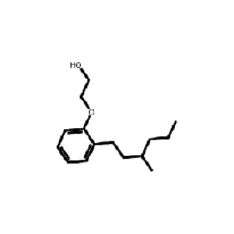 CCCC(C)CCc1ccccc1OCCO